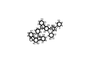 c1ccc(-c2nc(-c3ccccc3)n(-c3ccc4c(c3)c3ccccc3n4-c3cccc(-n4c5ccccc5c5ccc6oc7ccccc7c6c54)c3)n2)cc1